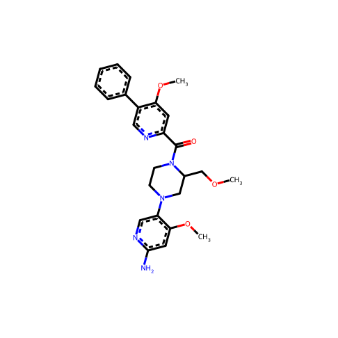 COCC1CN(c2cnc(N)cc2OC)CCN1C(=O)c1cc(OC)c(-c2ccccc2)cn1